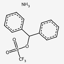 N.O=S(=O)(OC(c1ccccc1)c1ccccc1)C(F)(F)F